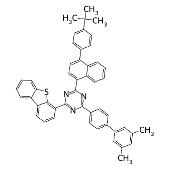 Cc1cc(C)cc(-c2ccc(-c3nc(-c4ccc(-c5ccc(C(C)(C)C)cc5)c5ccccc45)nc(-c4cccc5c4sc4ccccc45)n3)cc2)c1